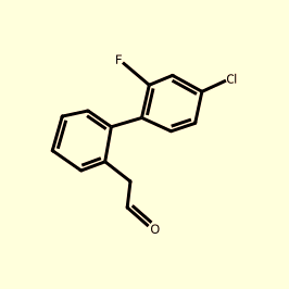 O=CCc1ccccc1-c1ccc(Cl)cc1F